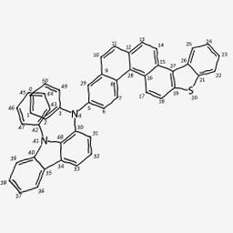 c1ccc(N(c2ccc3c(ccc4ccc5c(ccc6sc7ccccc7c65)c43)c2)c2cccc3c4ccccc4n(-c4ccccc4)c23)cc1